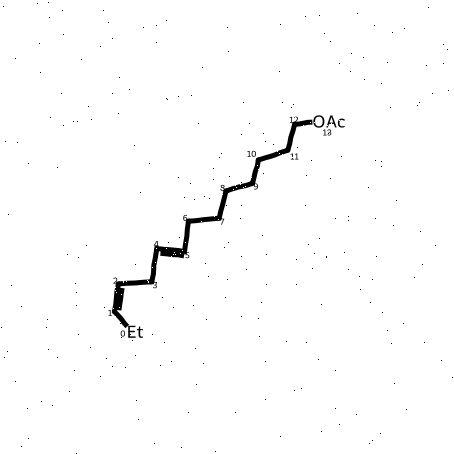 CC/C=C\CC=CCCCCCCCOC(C)=O